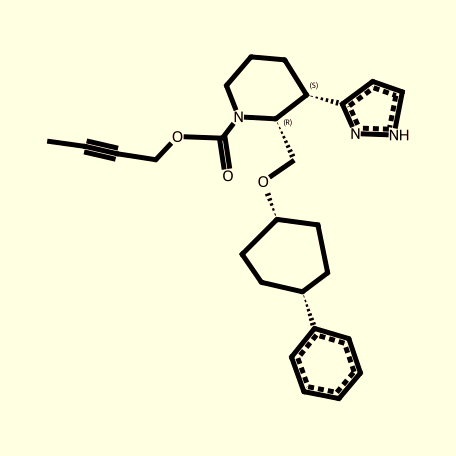 CC#CCOC(=O)N1CCC[C@H](c2cc[nH]n2)[C@@H]1CO[C@H]1CC[C@@H](c2ccccc2)CC1